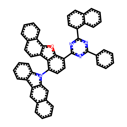 c1ccc(-c2nc(-c3cccc4ccccc34)nc(-c3ccc(-n4c5ccccc5c5cc6ccccc6cc54)c4c3oc3c5ccccc5ccc34)n2)cc1